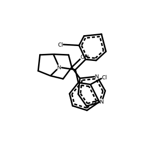 OC1(c2ccncn2)CC2CCC(C1)N2C(c1ccccc1Cl)c1ccccc1Cl